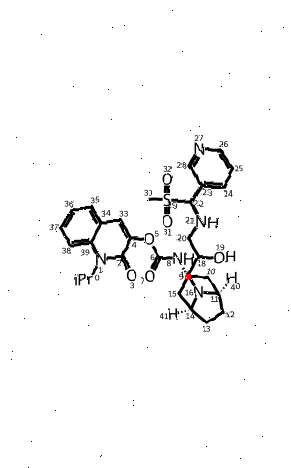 CC(C)n1c(=O)c(OC(=O)N[C@@H]2C[C@H]3CC[C@@H](C2)N3CC(O)CNC(c2cccnc2)S(C)(=O)=O)cc2ccccc21